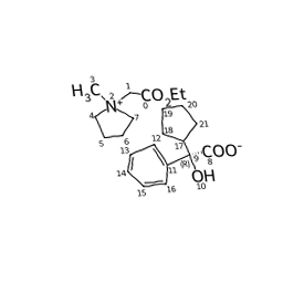 CCOC(=O)C[N+]1(C)CCCC1.O=C([O-])[C@](O)(c1ccccc1)C1CCCC1